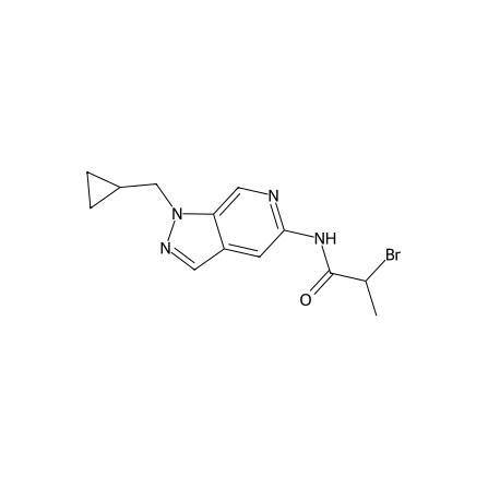 CC(Br)C(=O)Nc1cc2cnn(CC3CC3)c2cn1